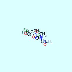 CC(C)C(NC(=O)C(C)(F)F)[C@H](Oc1ccc2c(cnn2-c2ccc(=O)n(C)c2)c1)c1ccc(OC(F)(F)F)cc1